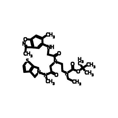 CCN(CCN(CC(=O)N(C)N1Cc2ccsc2C1)C(=O)CNc1cc2c(C)noc2cc1C)C(=O)OC(C)(C)C